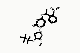 CC[C@H]1O[C@@H](n2ccc(NC(C)c3ccccc3[N+](=O)[O-])nc2=O)CC1O[Si](C)(C)C(C)(C)C